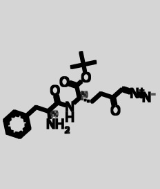 CC(C)(C)OC(=O)[C@H](CCC(=O)C=[N+]=[N-])NC(=O)[C@@H](N)Cc1ccccc1